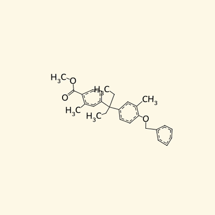 CCC(CC)(c1ccc(OCc2ccccc2)c(C)c1)c1ccc(C(=O)OC)c(C)c1